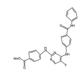 COC(=O)c1ccc(Nc2ncc(F)c(Nc3ccc(C(=O)Nc4ccccc4)cc3)n2)cc1